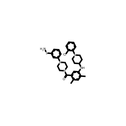 Cc1cc(C)c(C(=O)N2CCN(c3cccc(SN)c3)CC2)cc1NC1CCN(c2ccccc2Cl)CC1